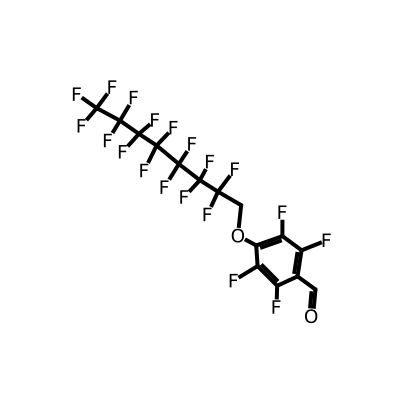 O=Cc1c(F)c(F)c(OCC(F)(F)C(F)(F)C(F)(F)C(F)(F)C(F)(F)C(F)(F)C(F)(F)F)c(F)c1F